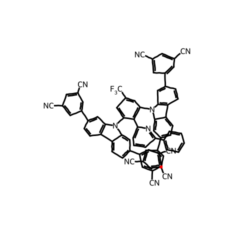 N#Cc1cc(C#N)cc(-c2ccc3c4ccc(-c5cc(C#N)cc(C#N)c5)cc4n(-c4cc(C(F)(F)F)cc(-n5c6cc(-c7cc(C#N)cc(C#N)c7)ccc6c6ccc(-c7cc(C#N)cc(C#N)c7)cc65)c4-c4cccc(-c5ccccc5)n4)c3c2)c1